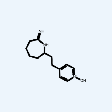 N=C1CCCCC(CCc2cc[n+](O)cc2)N1